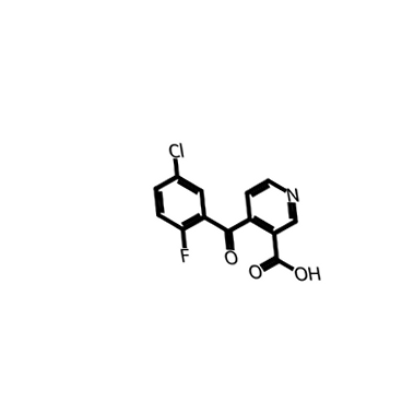 O=C(O)c1cnccc1C(=O)c1cc(Cl)ccc1F